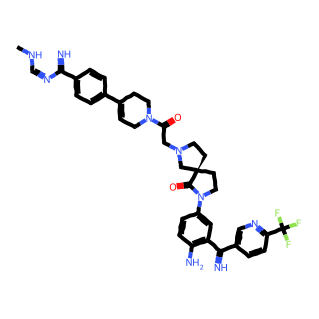 CN/C=N\C(=N)c1ccc(C2=CCN(C(=O)CN3CC[C@]4(CCN(c5ccc(N)c(C(=N)c6ccc(C(F)(F)F)nc6)c5)C4=O)C3)CC2)cc1